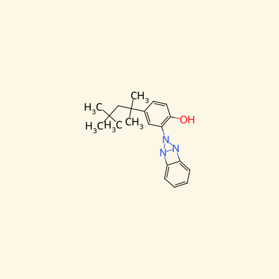 CC(C)(C)CC(C)(C)c1ccc(O)c(-n2n3c4ccccc4n23)c1